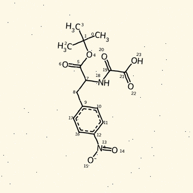 CC(C)(C)OC(=O)C(Cc1ccc([N+](=O)[O-])cc1)NC(=O)C(=O)O